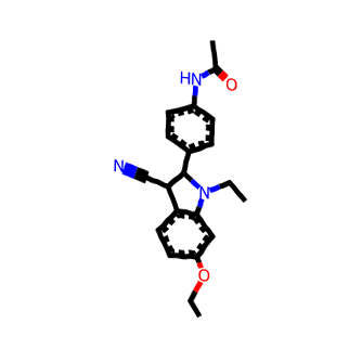 CCOc1ccc2c(c1)N(CC)C(c1ccc(NC(C)=O)cc1)C2C#N